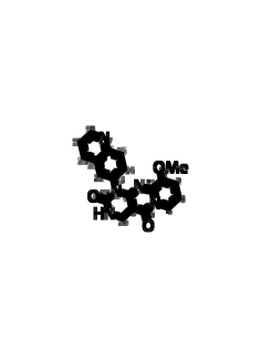 COc1cccn2c(=O)c3c(nc12)N(c1ccc2ncccc2c1)C(=O)NC3